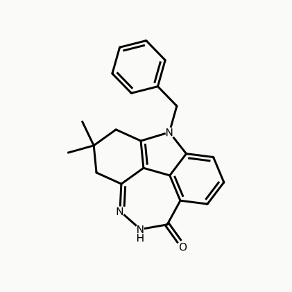 CC1(C)CC2=NNC(=O)c3cccc4c3c2c(n4Cc2ccccc2)C1